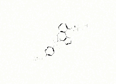 COc1ccc(S(=O)(=O)N2Cc3cccc(NC(=O)O)c3-c3sccc32)cc1